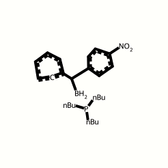 BC(c1ccccc1)c1ccc([N+](=O)[O-])cc1.CCCCP(CCCC)CCCC